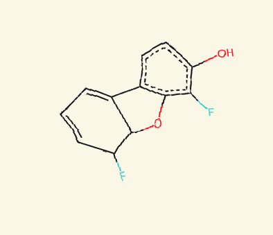 Oc1ccc2c(c1F)OC1C2=CC=CC1F